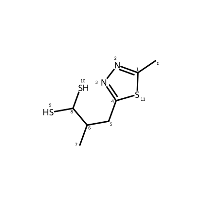 Cc1nnc(CC(C)C(S)S)s1